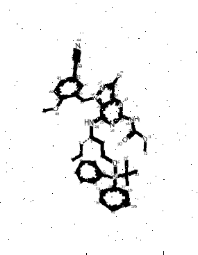 CCC[C@@H](CCO[Si](c1ccccc1)(c1ccccc1)C(C)(C)C)Nc1nc(NC(=O)OC)nc2c(Br)nn(Cc3cc(C#N)ccc3OC)c12